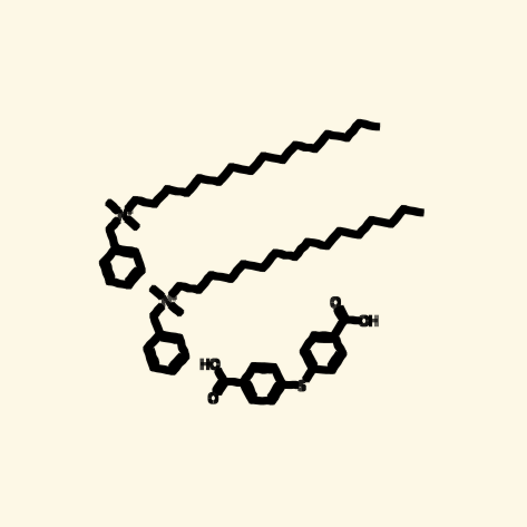 CCCCCCCCCCCCCCCC[N+](C)(C)Cc1ccccc1.CCCCCCCCCCCCCCCC[N+](C)(C)Cc1ccccc1.O=C(O)c1ccc(Sc2ccc(C(=O)O)cc2)cc1